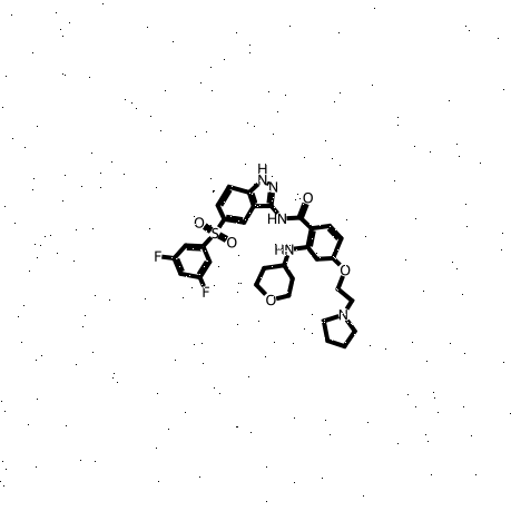 O=C(Nc1n[nH]c2ccc(S(=O)(=O)c3cc(F)cc(F)c3)cc12)C1=C(NC2CCOCC2)CC(OCCN2CCCC2)C=C1